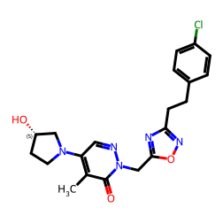 Cc1c(N2CC[C@H](O)C2)cnn(Cc2nc(CCc3ccc(Cl)cc3)no2)c1=O